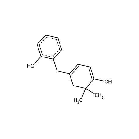 CC1(C)CC(Cc2ccccc2O)=CC=C1O